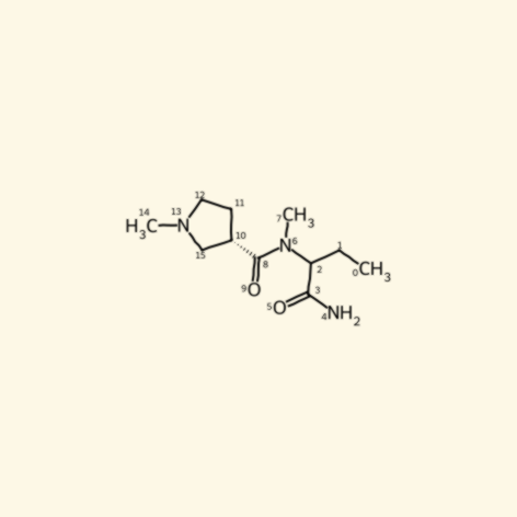 CCC(C(N)=O)N(C)C(=O)[C@H]1CCN(C)C1